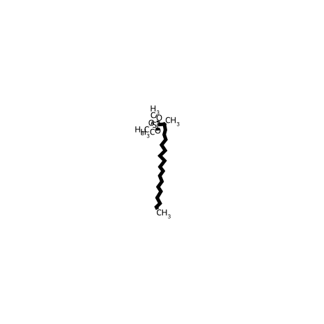 CCCCCCCCCCCCCCCCCC(C)[Si](OC)(OC)OC